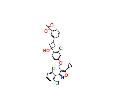 CS(=O)(=O)c1cccc(C2CC(O)(c3ccc(OCc4c(-c5c(Cl)cccc5Cl)noc4C4CC4)cc3Cl)C2)c1